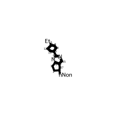 CCCCCCCCCC1CCc2nc(-c3ccc(CC)cc3)ncc2C1